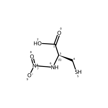 O=C(O)[C@@H](CS)N[N+](=O)[O-]